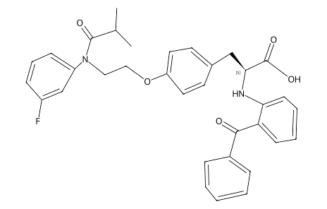 CC(C)C(=O)N(CCOc1ccc(C[C@H](Nc2ccccc2C(=O)c2ccccc2)C(=O)O)cc1)c1cccc(F)c1